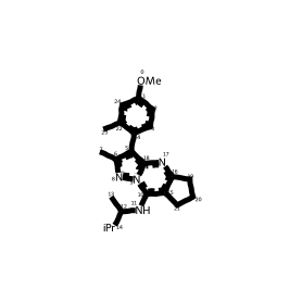 COc1ccc(-c2c(C)nn3c(NC(C)C(C)C)c4c(nc23)CCC4)c(C)c1